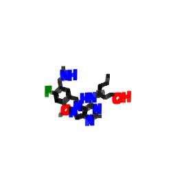 CCC[C@@H](CCO)Nc1n[c]nc2cnn(Cc3cc(CNC)c(F)cc3OC)c12